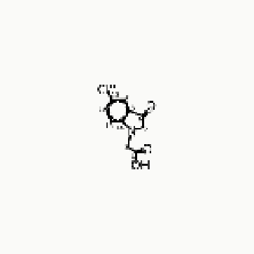 O=C(O)CN1CC(=O)c2cc(Cl)ccc21